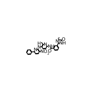 Cc1nc(NC(=O)c2cccc(-c3nsc(=O)[nH]3)c2)ccc1Nc1nc(-c2ccccc2)ccc1[N+](=O)[O-]